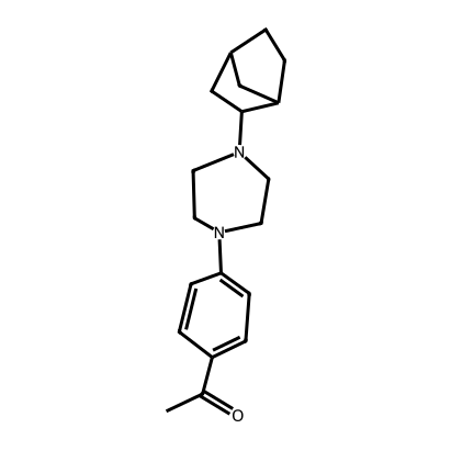 CC(=O)c1ccc(N2CCN(C3CC4CCC3C4)CC2)cc1